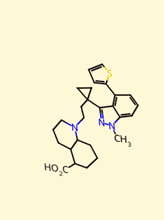 Cn1nc(C2(CCN3CCCC4C(C(=O)O)CCCC43)CC2)c2c(-c3cccs3)cccc21